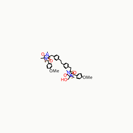 COc1ccc(C2SC3(C)C(=O)N(C)C(Cc4ccc(CCc5ccc(CC67SC(c8ccc(OC)cc8)SC(CO)(C(=O)N6C)N(C)C7=O)cc5)cc4)(S2)C(=O)N3C)cc1